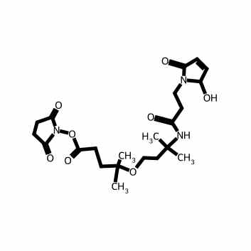 CC(C)(CCOC(C)(C)CCC(=O)ON1C(=O)CCC1=O)NC(=O)CCN1C(=O)C=CC1O